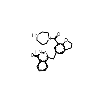 O=C(c1cc(Cc2n[nH]c(=O)c3ccccc23)cc2c1OCC2)N1CCCNCC1